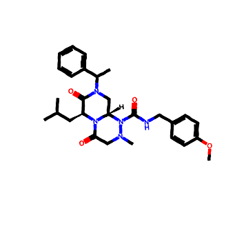 COc1ccc(CNC(=O)N2[C@H]3CN(C(C)c4ccccc4)C(=O)[C@H](CC(C)C)N3C(=O)CN2C)cc1